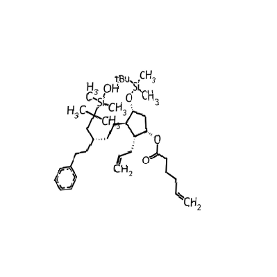 C=CCCCC(=O)O[C@H]1C[C@@H](O[Si](C)(C)C(C)(C)C)[C@H](CC[C@H](CCc2ccccc2)CC(C)(C)[Si](C)(C)O)[C@H]1CC=C